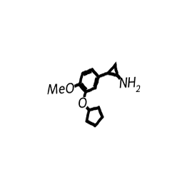 COc1ccc(C2CC2N)cc1OC1CCCC1